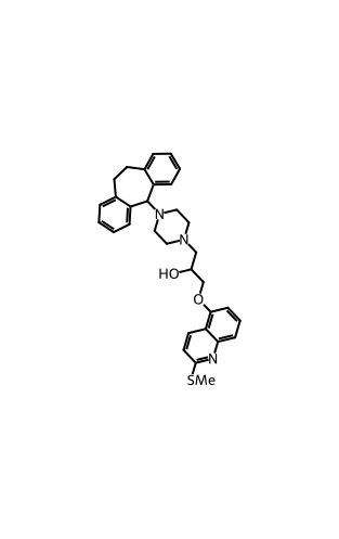 CSc1ccc2c(OCC(O)CN3CCN(C4c5ccccc5CCc5ccccc54)CC3)cccc2n1